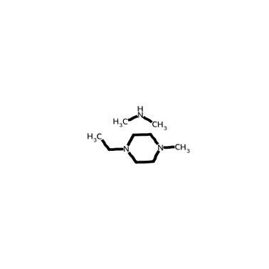 CCN1CCN(C)CC1.CNC